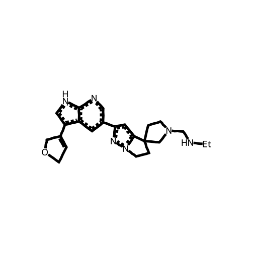 CCNCN1CCC2(CCn3nc(-c4cnc5[nH]cc(C6=CCOC6)c5c4)cc32)C1